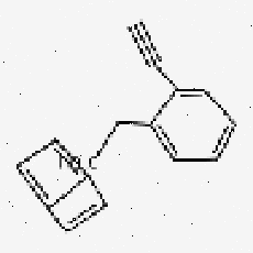 C#Cc1ccccc1CC(=O)O.c1cc2ccc1-2